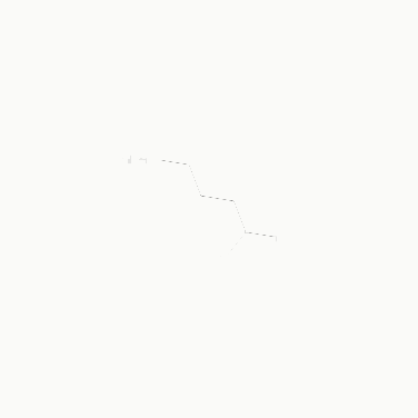 [CH2]CCCCCCCC(CCC)CCC